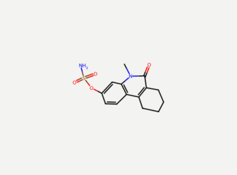 Cn1c(=O)c2c(c3ccc(OS(N)(=O)=O)cc31)CCCC2